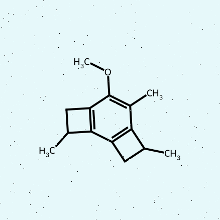 COc1c(C)c2c(c3c1CC3C)CC2C